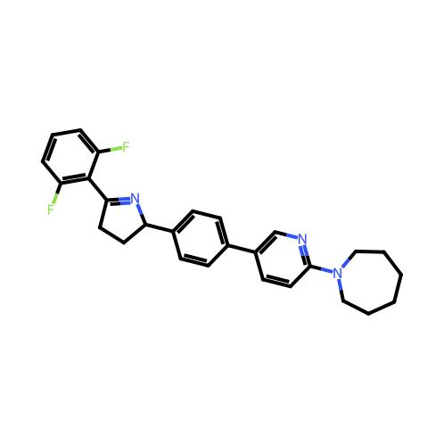 Fc1cccc(F)c1C1=NC(c2ccc(-c3ccc(N4CCCCCC4)nc3)cc2)CC1